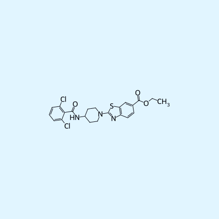 CCOC(=O)c1ccc2nc(N3CCC(NC(=O)c4c(Cl)cccc4Cl)CC3)sc2c1